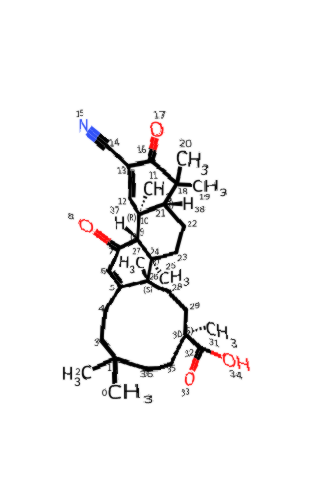 CC1(C)CCC2=CC(=O)[C@@H]3[C@@]4(C)C=C(C#N)C(=O)C(C)(C)[C@@H]4CC[C@@]3(C)[C@]2(C)CC[C@@](C)(C(=O)O)CC1